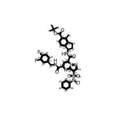 Cc1c(C(=O)OC(C)(C)C)ccc2c1CCC2NC(=O)c1cc(C(=O)NCc2ccc(F)c(F)c2)nc2c(S(=O)(=O)N(Cl)c3ccccc3)cnn12